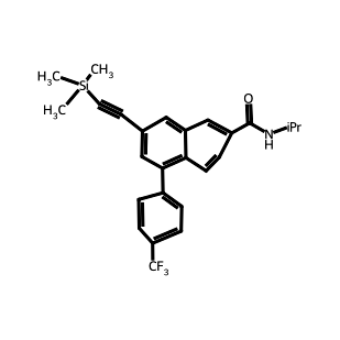 CC(C)NC(=O)c1ccc2c(-c3ccc(C(F)(F)F)cc3)cc(C#C[Si](C)(C)C)cc2c1